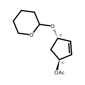 CC(=O)O[C@@H]1C=C[C@@H](OC2CCCCO2)C1